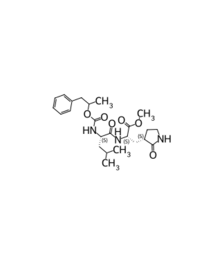 COC(=O)[C@H](C[C@@H]1CCNC1=O)NC(=O)[C@H](CC(C)C)NC(=O)OC(C)Cc1ccccc1